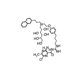 Cc1nc(N)c(C(=O)NC(=N)NCCCCc2ccc(OCCN(CCCc3ccc4ccccc4c3)C[C@H](O)[C@@H](O)[C@H](O)[C@H](O)CO)cc2)nc1Cl